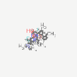 CCc1cccc(C)c1-c1cc(C)c(F)c([C@H](CC(=O)O)NC(=O)C(CC(C)C)n2cc(CCN(C)C)c(C(F)(F)F)cc2=O)c1